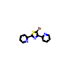 Brc1sc(-c2ccccn2)nc1-c1ccccn1